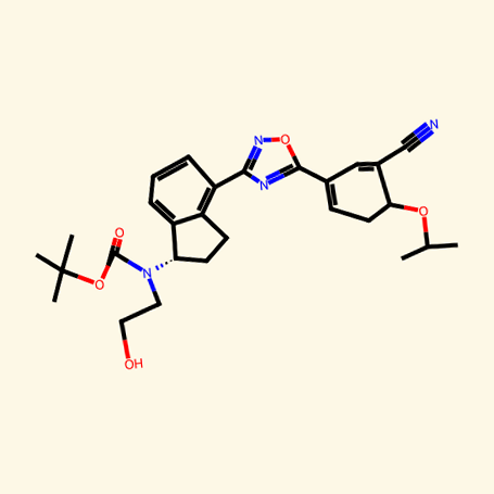 CC(C)OC1CC=C(c2nc(-c3cccc4c3CC[C@@H]4N(CCO)C(=O)OC(C)(C)C)no2)C=C1C#N